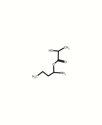 CCCC(N)OC(=O)C(C)O